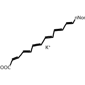 CCCCCCCCC/C=C/C=C/C=C/C=C/C=C/C=C/C(=O)[O-].[K+]